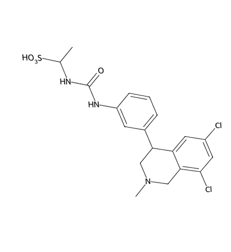 CC(NC(=O)Nc1cccc(C2CN(C)Cc3c(Cl)cc(Cl)cc32)c1)S(=O)(=O)O